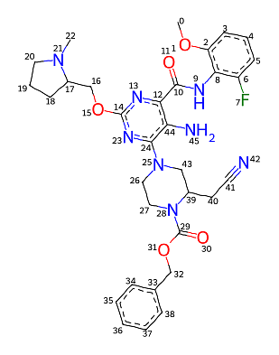 COc1cccc(F)c1NC(=O)c1nc(OCC2CCCN2C)nc(N2CCN(C(=O)OCc3ccccc3)C(CC#N)C2)c1N